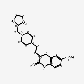 COc1ccc2c(c1)CN(CCC1CCN(CC3OCCO3)CC1)C(=O)O2